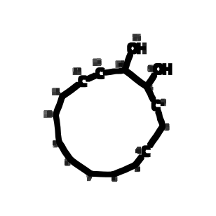 OC1CCCCCCCCCCCCC1O